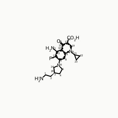 NCC[C@@H]1CCN(c2cc3c(c(N)c2F)c(=O)c(C(=O)O)cn3C2CC2)C1